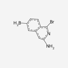 Bc1ccc2c(Br)nc(N)cc2c1